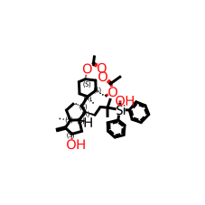 C=C1[C@@H](O)C[C@H]2[C@H](CCC(C)(C)[Si](O)(c3ccccc3)c3ccccc3)[C@@H]([C@@]3(C)CC[C@H](OC(C)=O)C[C@@H]3COC(C)=O)CC[C@]12C